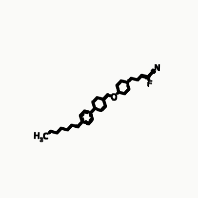 CCCCCCCc1ccc(C2CCC(COC3CCC(CCC=C(F)C#N)CC3)CC2)cc1